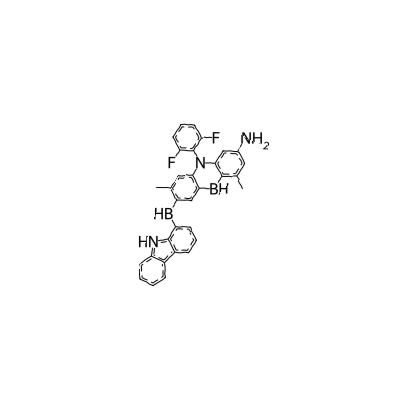 Cc1cc2c(cc1Bc1cccc3c1[nH]c1ccccc13)Bc1c(C)cc(N)cc1N2c1c(F)cccc1F